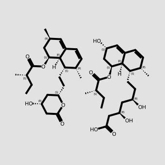 CC[C@H](C)C(=O)O[C@H]1C[C@@H](C)C=C2C=C[C@H](C)[C@H](CC[C@H]3C[C@@H](O)CC(=O)O3)[C@H]21.CC[C@H](C)C(=O)O[C@H]1C[C@H](O)C=C2C=C[C@H](C)[C@H](CC[C@@H](O)C[C@@H](O)CC(=O)O)[C@H]21